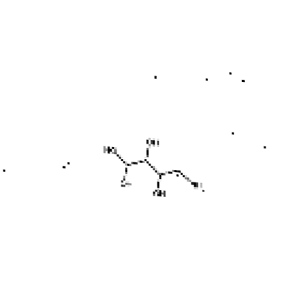 NCC(O)C(O)C(O)O